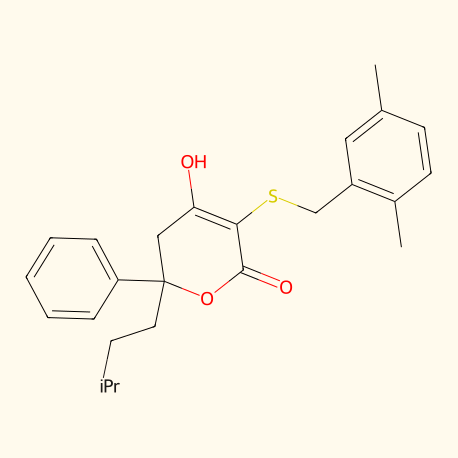 Cc1ccc(C)c(CSC2=C(O)CC(CCC(C)C)(c3ccccc3)OC2=O)c1